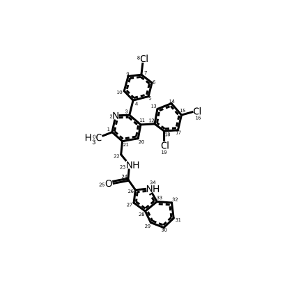 Cc1nc(-c2ccc(Cl)cc2)c(-c2ccc(Cl)cc2Cl)cc1CNC(=O)c1cc2ccccc2[nH]1